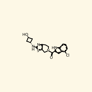 O=C(c1cc2c(Cl)cccc2[nH]1)N1CCc2nc(N[C@H]3C[C@H](O)C3)sc2C1